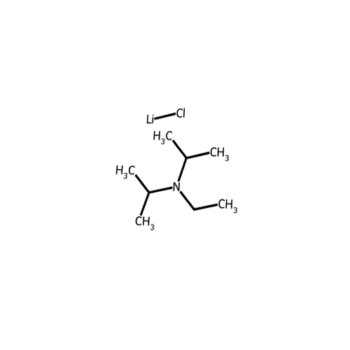 CCN(C(C)C)C(C)C.[Li][Cl]